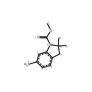 COC(=O)N1c2cc(N)ccc2CC1(C)C